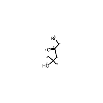 CC(C)(O)CC(=O)CBr